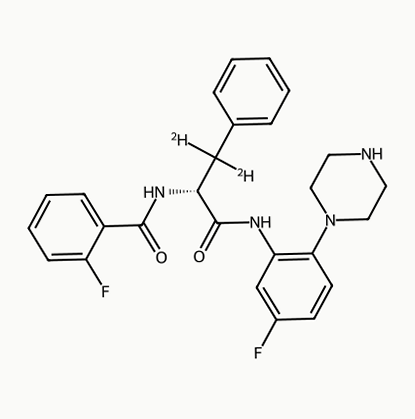 [2H]C([2H])(c1ccccc1)[C@@H](NC(=O)c1ccccc1F)C(=O)Nc1cc(F)ccc1N1CCNCC1